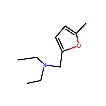 [CH2]c1ccc(CN(CC)CC)o1